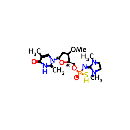 C=C1NC(=O)C(C)=CN1[C@H]1CC(OC)[C@@H](COP(=O)(S)N=C2N(C)CCN2C)O1